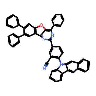 N#Cc1cc(-c2nc(-c3ccccc3)c3oc4cc(-c5ccccc5)c(-c5ccccc5)cc4c3n2)ccc1-n1c2ccccc2c2cc3ccccc3cc21